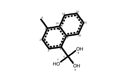 Cc1ccc(C(O)(O)O)c2ccccc12